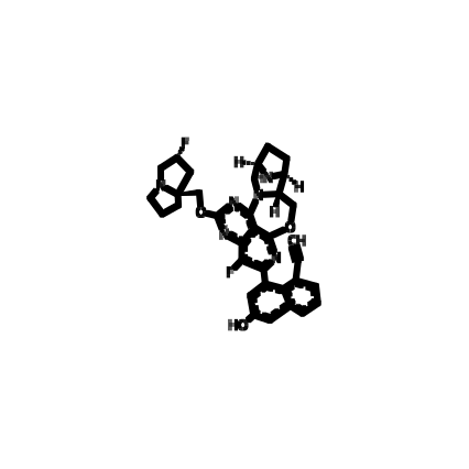 C#Cc1cccc2cc(O)cc(-c3nc4c5c(nc(OC[C@@]67CCCN6C[C@H](F)C7)nc5c3F)N3C[C@H]5CC[C@H](N5)[C@@H]3CO4)c12